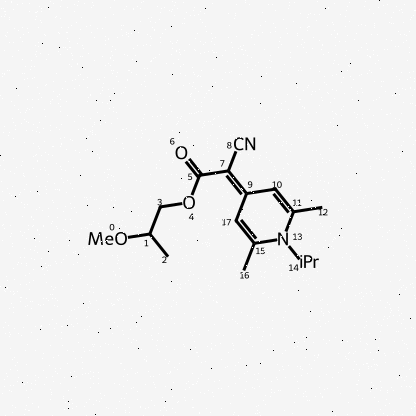 COC(C)COC(=O)C(C#N)=C1C=C(C)N(C(C)C)C(C)=C1